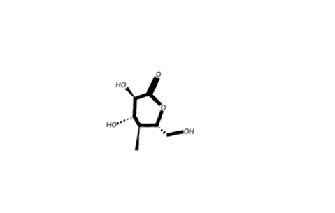 C[C@H]1[C@H](O)[C@@H](O)C(=O)O[C@@H]1CO